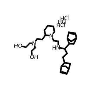 Cl.Cl.Cl.OCCN(CCO)CCC1CCCCN1CCNC(CCC1CC2C=CC1C2)C1CC2C=CC1C2